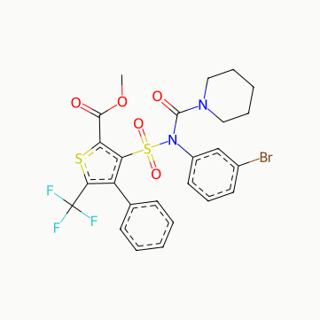 COC(=O)c1sc(C(F)(F)F)c(-c2ccccc2)c1S(=O)(=O)N(C(=O)N1CCCCC1)c1cccc(Br)c1